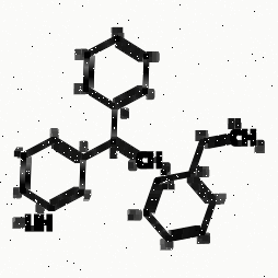 C=C(c1ccccc1)c1ccccc1.C=Cc1ccccc1.[LiH]